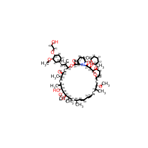 CO[C@H]1C[C@@H]2CC[C@@H](C)[C@@](O[C@H]3CCC[C@@H](C)O3)(O2)C(=O)C(=O)N2CCCC[C@H]2C(=O)OC([C@H](C)C[C@@H]2CC[C@@H](OCCO)[C@H](OC)C2)CC(=O)[C@H](C)CC(C)[C@@H](O)[C@@H](OC)C(=O)[C@H](C)C[C@H](C)/C=C/C=C/CC1C